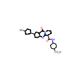 N#Cc1ccc(-c2ccc3nc4c(C(=O)NC5CCC(C(=O)O)CC5)cccn4c(=O)c3c2)cc1